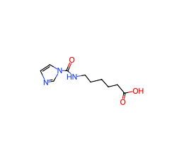 O=C(O)CCCCCNC(=O)n1ccnc1